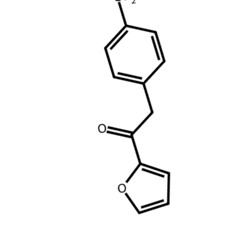 O=C(O)c1ccc(CC(=O)c2ccco2)cc1